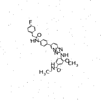 CCNC(=O)c1ccc(Nc2nc3ccc(-c4ccc(NC(=O)Cc5ccc(F)cc5)cc4)cn3n2)c(OC)c1